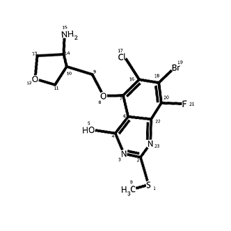 CSc1nc(O)c2c(OCC3COCC3N)c(Cl)c(Br)c(F)c2n1